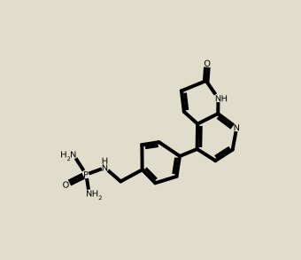 NP(N)(=O)NCc1ccc(-c2ccnc3[nH]c(=O)ccc23)cc1